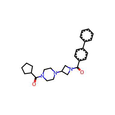 O=C(c1ccc(-c2ccccc2)cc1)N1CC(N2CCN(C(=O)C3CCCC3)CC2)C1